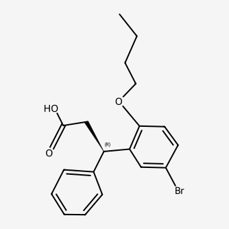 CCCCOc1ccc(Br)cc1[C@H](CC(=O)O)c1ccccc1